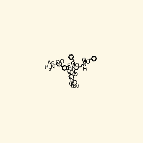 CC(=O)C(N)[C@@H]1CN(c2ccc(OCC3(OC(=O)C(CCCCNC(=O)OCc4ccccc4)NC(=O)OCc4ccccc4)CCN(C(=O)OC(C)(C)C)CC3)c(F)c2)C(=O)O1